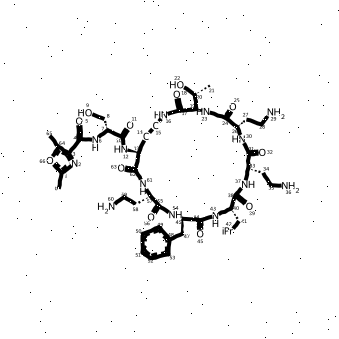 Cc1nc(C(=O)N[C@H](CO)C(=O)N[C@H]2CCNC(=O)[C@H]([C@@H](C)O)NC(=O)[C@H](CCN)NC(=O)[C@H](CCN)NC(=O)[C@H](CC(C)C)NC(=O)[C@@H](Cc3ccccc3)NC(=O)[C@H](CCN)NC2=O)c(C)o1